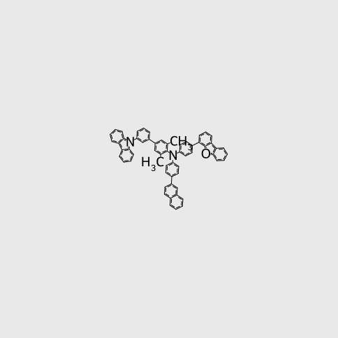 Cc1cc(-c2cccc(-n3c4ccccc4c4ccccc43)c2)cc(C)c1N(c1ccc(-c2ccc3ccccc3c2)cc1)c1ccc(-c2cccc3c2oc2ccccc23)cc1